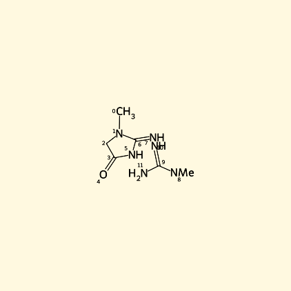 CN1CC(=O)NC1=N.CNC(=N)N